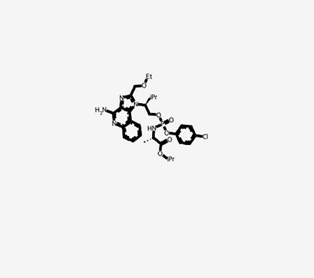 CCOCc1nc2c(N)nc3ccccc3c2n1[C@H](COP(=O)(N[C@@H](C)C(=O)OC(C)C)Oc1ccc(Cl)cc1)C(C)C